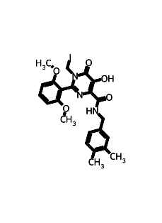 COc1cccc(OC)c1-c1nc(C(=O)NCc2ccc(C)c(C)c2)c(O)c(=O)n1CI